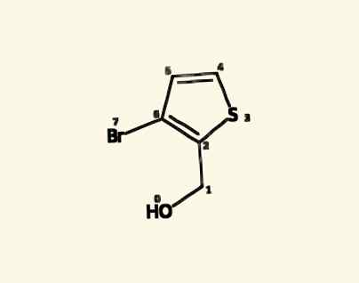 OCc1sccc1Br